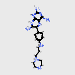 Nc1nc(N)c2nc(-c3ccc(NCCCN4CCNCC4)cc3)c(N)nc2n1